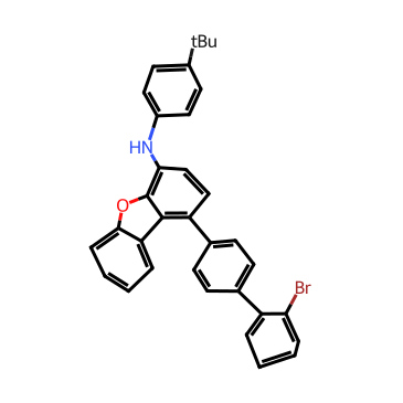 CC(C)(C)c1ccc(Nc2ccc(-c3ccc(-c4ccccc4Br)cc3)c3c2oc2ccccc23)cc1